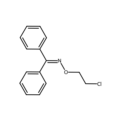 ClCCON=C(c1ccccc1)c1ccccc1